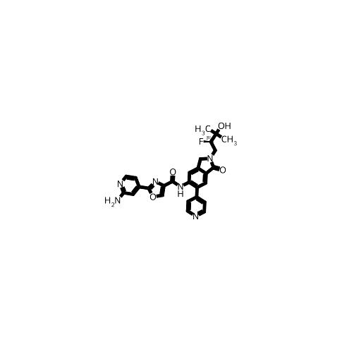 CC(C)(O)[C@H](F)CN1Cc2cc(NC(=O)c3coc(-c4ccnc(N)c4)n3)c(-c3ccncc3)cc2C1=O